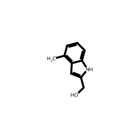 Cc1cccc2[nH]c(CO)cc12